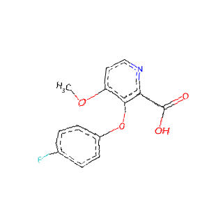 COc1ccnc(C(=O)O)c1Oc1ccc(F)cc1